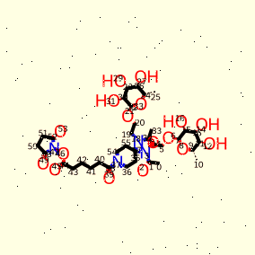 CC(=O)N(CCO[C@@H]1O[C@@H](C)[C@@H](O)[C@@H](O)[C@@H]1O)C1(N(CCO[C@@H]2O[C@@H](C)[C@@H](O)[C@@H](O)[C@@H]2O)C(C)=O)CCN(C(=O)CCCCC(=O)ON2C(=O)CCC2=O)CC1